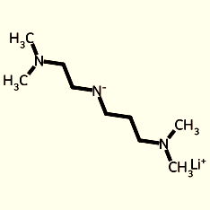 CN(C)CCC[N-]CCN(C)C.[Li+]